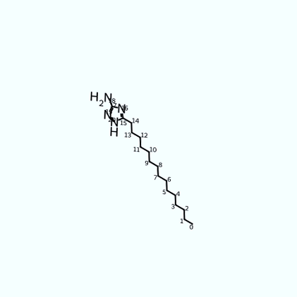 CCCCCCCCCCCCCCCc1nc(N)n[nH]1